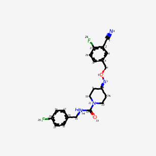 N#Cc1cc(CON=C2CCN(C(=O)NCc3ccc(F)cc3)CC2)ccc1F